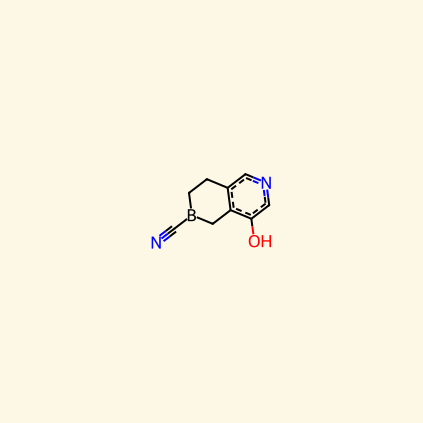 N#CB1CCc2cncc(O)c2C1